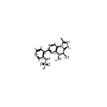 CCC1c2nnc(C)n2-c2cnc(-c3ccncc3NS(C)(=O)=O)nc2N1C(C)C